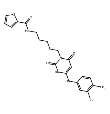 CCc1cc(Nc2cc(=O)n(CCCCCNC(=O)c3cccs3)c(=O)[nH]2)ccc1C